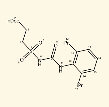 CCCCCCCCCCCCS(=O)(=O)NC(=O)Nc1c(C(C)C)cccc1C(C)C